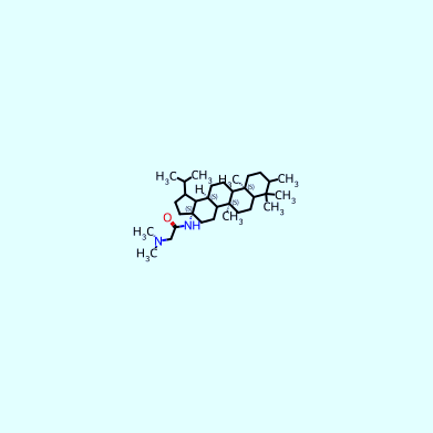 CC(C)C1CC[C@]2(NC(=O)CN(C)C)CCC3[C@H](CCC4[C@@]3(C)CCC3C(C)(C)C(C)CC[C@@]34C)C12